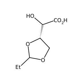 CCC1OC[C@@H](C(O)C(=O)O)O1